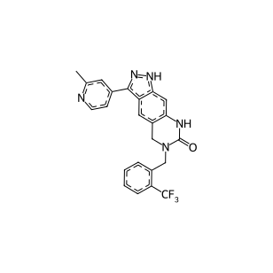 Cc1cc(-c2n[nH]c3cc4c(cc23)CN(Cc2ccccc2C(F)(F)F)C(=O)N4)ccn1